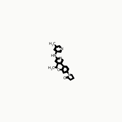 Cc1cncc(Nc2cc3c(cn2)-c2ccc(N4CCCC4=O)cc2OC3C)c1